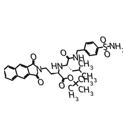 CC(C)C[C@H](N[C@H](CCN1C(=O)c2cc3ccccc3cc2C1=O)C(=O)OC(C)(C)C)C(=O)NCc1ccc(S(N)(=O)=O)cc1